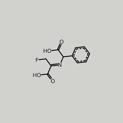 O=C(O)C(CF)=NC(C(=O)O)c1ccccc1